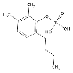 CCCCc1ccc(C)c(C)c1OP(=O)(O)O